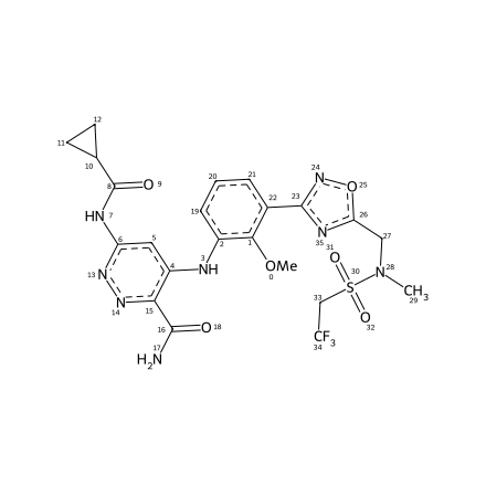 COc1c(Nc2cc(NC(=O)C3CC3)nnc2C(N)=O)cccc1-c1noc(CN(C)S(=O)(=O)CC(F)(F)F)n1